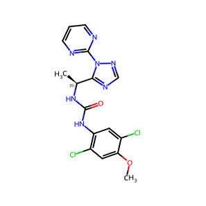 COc1cc(Cl)c(NC(=O)N[C@@H](C)c2ncnn2-c2ncccn2)cc1Cl